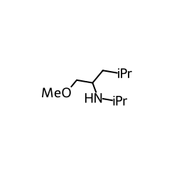 COCC(CC(C)C)NC(C)C